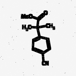 COC(=O)C(C)(C)c1ccc(C#N)cc1